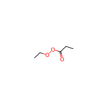 CCOOC(=O)CC